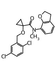 CN(C(=O)C1(OCc2cc(Cl)ccc2Cl)CC1)c1cccc2c1OCC2